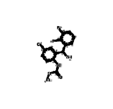 CC(C)(C)OC(=O)Nc1ccc(Cl)cc1C(O)c1cccc(F)c1F